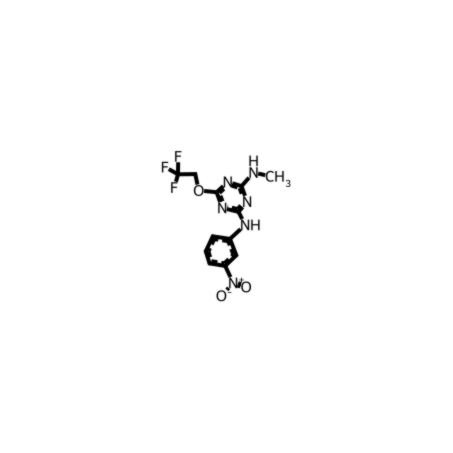 CNc1nc(Nc2cccc([N+](=O)[O-])c2)nc(OCC(F)(F)F)n1